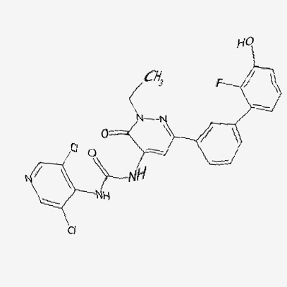 CCn1nc(-c2cccc(-c3cccc(O)c3F)c2)cc(NC(=O)Nc2c(Cl)cncc2Cl)c1=O